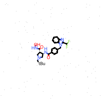 CC(C)(C)CN1C[C@H](C(=O)NO)[C@H](NC(=O)c2ccc(Cn3c(C(F)F)nc4ccccc43)cc2)C1